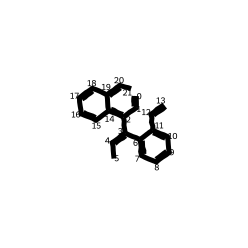 C=CC(/C(=C/C)c1ccccc1C=C)=c1/cccc/c1=C/C